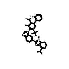 Cc1c(C(=O)O)c(-c2ccccc2)cc(C(C)(C)C)c1-n1cnc2ccc(-c3nc4c(C(C)C)cccc4n3C)cc21